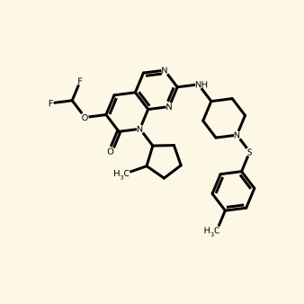 Cc1ccc(SN2CCC(Nc3ncc4cc(OC(F)F)c(=O)n(C5CCCC5C)c4n3)CC2)cc1